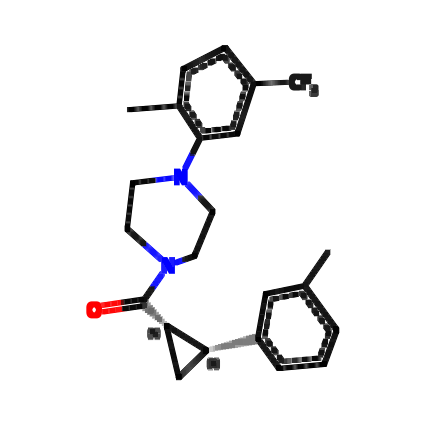 Cc1cccc([C@@H]2C[C@@H]2C(=O)N2CCN(c3cc(C(F)(F)F)ccc3C)CC2)c1